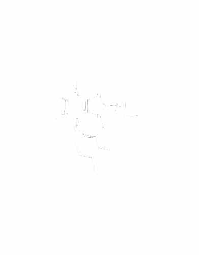 Cn1c(=O)c2c(nc(NCCO)n2Cc2cccc(F)c2F)n(C)c1=O